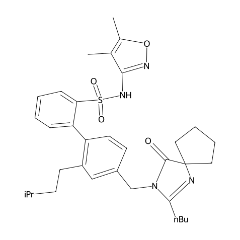 CCCCC1=NC2(CCCC2)C(=O)N1Cc1ccc(-c2ccccc2S(=O)(=O)Nc2noc(C)c2C)c(CCC(C)C)c1